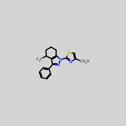 O=C(O)c1csc(-n2nc(-c3ccccc3)c3c2CCCC3C(F)(F)F)n1